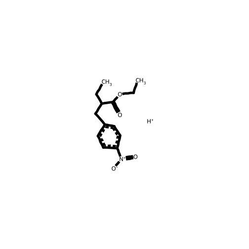 CCOC(=O)C(CC)Cc1ccc([N+](=O)[O-])cc1.[H+]